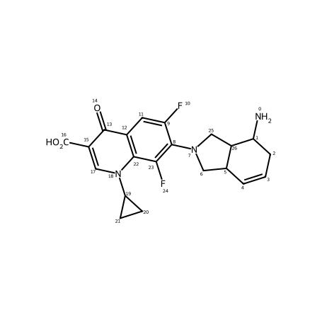 NC1CC=CC2CN(c3c(F)cc4c(=O)c(C(=O)O)cn(C5CC5)c4c3F)CC12